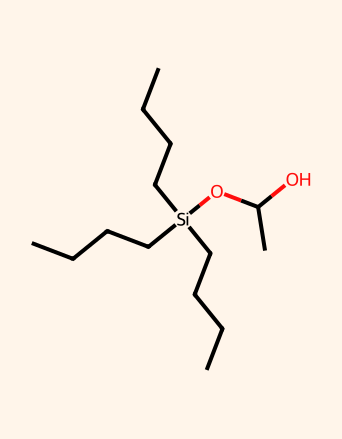 CCCC[Si](CCCC)(CCCC)OC(C)O